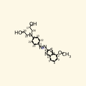 COc1cccc2nc(/N=N/c3ccc(N(CCO)CCO)cc3)sc12